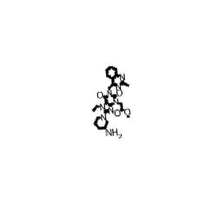 CCn1c(N2CCCC(N)C2)nc2c1c(=O)n(Cc1nc(C)nc3ccccc13)c(=O)n2CC(=O)OC